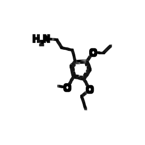 CCOc1cc(OCC)c(OC)cc1CCCN